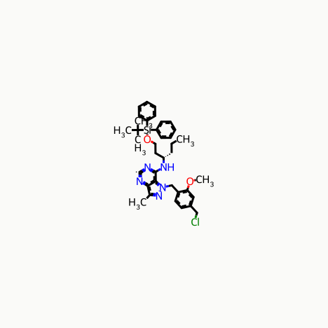 CCC[C@@H](CCO[Si](c1ccccc1)(c1ccccc1)C(C)(C)C)Nc1n[c]nc2c(C)nn(Cc3ccc(CCl)cc3OC)c12